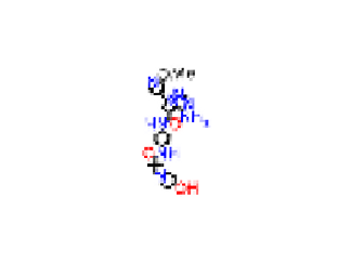 COc1cc(-c2cc(C(=O)N[C@H]3CC[C@H](NC(=O)C(C)(C)CN4CCC(O)CC4)CC3)c3c(N)ncnn23)ccn1